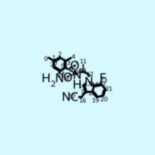 Cc1cc(C)c(S(=O)(=O)N[C@@H](C)Cn2cc(CC#N)c3cccc(F)c32)c(N)c1